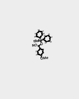 COc1ccc([C@H](C#N)O[Si](c2ccccc2)(c2ccccc2)C(C)(C)C)cc1